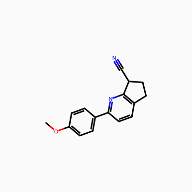 COc1ccc(-c2ccc3c(n2)C(C#N)CC3)cc1